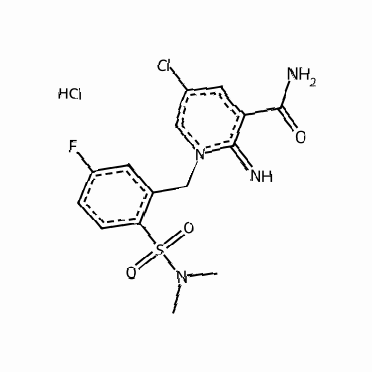 CN(C)S(=O)(=O)c1ccc(F)cc1Cn1cc(Cl)cc(C(N)=O)c1=N.Cl